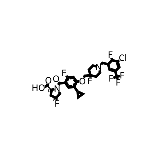 O=C(O)[C@@H]1C[C@@H](F)CN1C(=O)c1cc(C2CC2)c(OCC2(F)CCN(CC3C=C(C(F)(F)F)C=C(Cl)C3F)CC2)cc1F